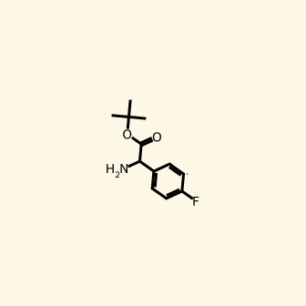 CC(C)(C)OC(=O)C(N)c1c[c]c(F)cc1